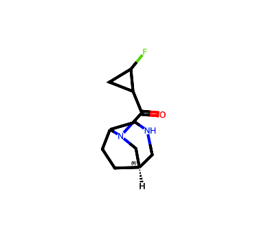 O=C(C1CC1F)N1C[C@@H]2CCC1CNC2